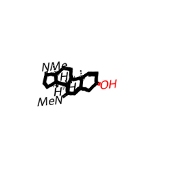 CNC1C=C2CC(O)C=C[C@]2(C)[C@@H]2CC[C@]3(C)C(NC)CC[C@H]3[C@H]12